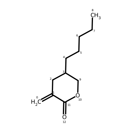 C=C1CC(CCCCC)COC1=O